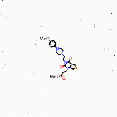 COC(=O)CCn1c(=O)n(CCN2CCN(c3ccc(OC)cc3)CC2)c(=O)c2cscc21